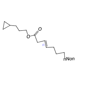 CCCCCCCCCCCC/C=C/CC(=O)OCCCC1CC1